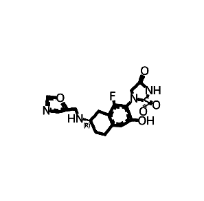 O=C1CN(c2c(O)cc3c(c2F)C[C@H](NCc2cnco2)CC3)S(=O)(=O)N1